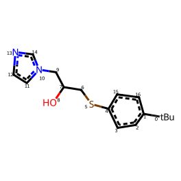 CC(C)(C)c1ccc(SCC(O)Cn2ccnc2)cc1